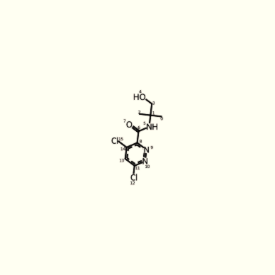 CC(C)(CO)NC(=O)c1nnc(Cl)cc1Cl